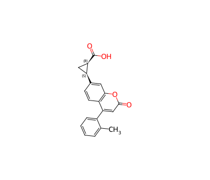 Cc1ccccc1-c1cc(=O)oc2cc([C@H]3C[C@H]3C(=O)O)ccc12